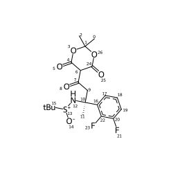 CC1(C)OC(=O)C(C(=O)C[C@](C)(N[S+]([O-])C(C)(C)C)c2cccc(F)c2F)C(=O)O1